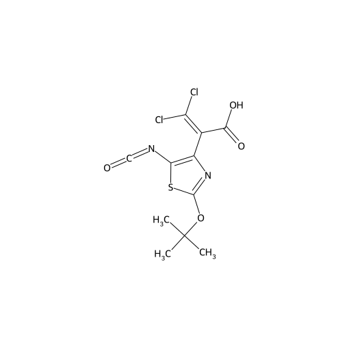 CC(C)(C)Oc1nc(C(C(=O)O)=C(Cl)Cl)c(N=C=O)s1